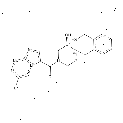 O=C(c1cnc2ncc(Br)cn12)N1CC[C@]2(Cc3ccccc3CN2)[C@H](O)C1